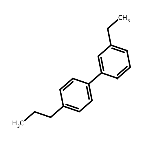 CCCc1ccc(-c2[c]ccc(CC)c2)cc1